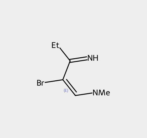 CCC(=N)/C(Br)=C\NC